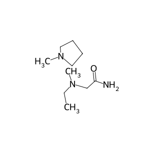 CCN(C)CC(N)=O.CN1CCCC1